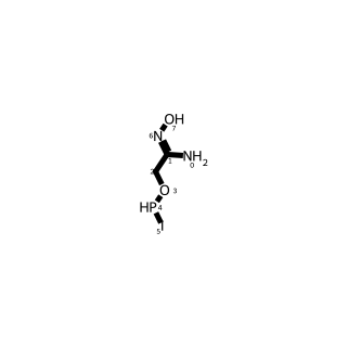 N/C(COPI)=N\O